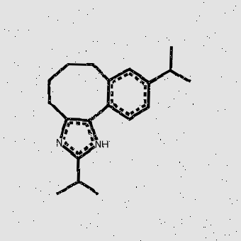 CC(C)c1ccc2c(c1)CCCCc1nc(C(C)C)[nH]c1-2